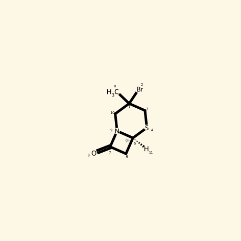 CC1(Br)CS[C@H]2CC(=O)N2C1